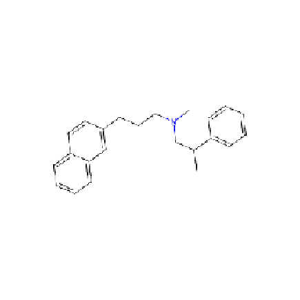 CC(CN(C)CCCc1ccc2ccccc2c1)c1ccccc1